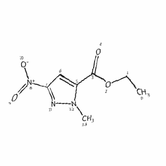 CCOC(=O)c1cc([N+](=O)[O-])nn1C